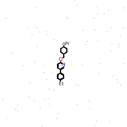 CCCC1CCC(COc2ccc(-c3ccc(CC)cc3)cn2)CC1